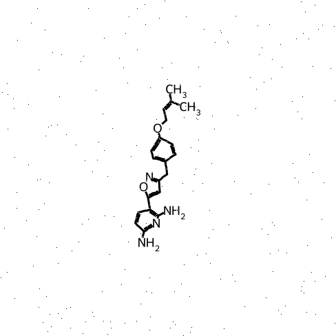 CC(C)=CCOc1ccc(Cc2cc(-c3ccc(N)nc3N)on2)cc1